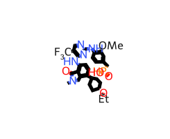 CCOC1CCC(c2ccc(Nc3nc(Nc4ccc(C[PH](=O)O)cc4OC)ncc3C(F)(F)F)c3c2CN(C)C3=O)CC1